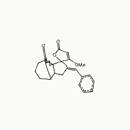 COC1=CC(=O)OC12/C(=C/c1ccccc1)CC1CCCCN3C(=O)CCC132